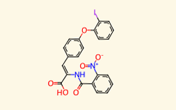 O=C(O)/C(=C/c1ccc(Oc2ccccc2I)cc1)NC(=O)c1ccccc1[N+](=O)[O-]